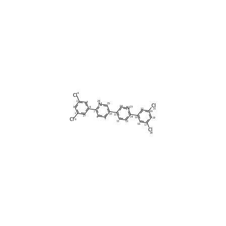 Clc1cc(Cl)cc(-c2ccc(-c3ccc(-c4cc(Cl)cc(Cl)c4)nc3)cn2)c1